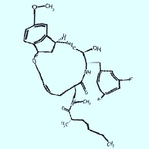 CCCC[C@H](C)C(=O)N(C)[C@H]1CC=CCO[C@H]2C[C@H](NC[C@@H](O)[C@H](Cc3cc(F)cc(F)c3)NC1=O)c1cc(OC)ccc12